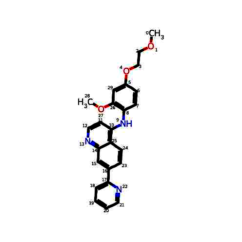 COCCOc1ccc(Nc2ccnc3cc(-c4ccccn4)ccc23)c(OC)c1